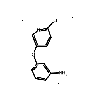 Nc1cccc(Oc2ccc(Cl)nc2)c1